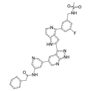 CS(=O)(=O)NCc1cc(F)cc(-c2nccc3[nH]c(-c4n[nH]c5ncc(-c6cncc(NC(=O)Cc7ccccc7)c6)cc45)cc23)c1